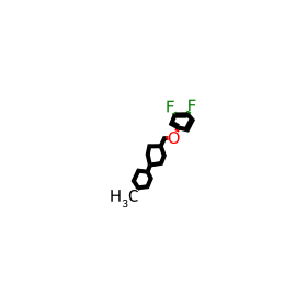 CC1CCC(C2CCC(COc3ccc(F)c(F)c3)CC2)CC1